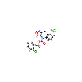 Cc1nocc1N(C(=O)OC(C)c1ccccc1Cl)c1cccc(CCl)c1